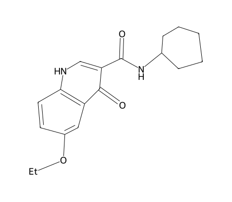 CCOc1ccc2[nH]cc(C(=O)NC3CCCCC3)c(=O)c2c1